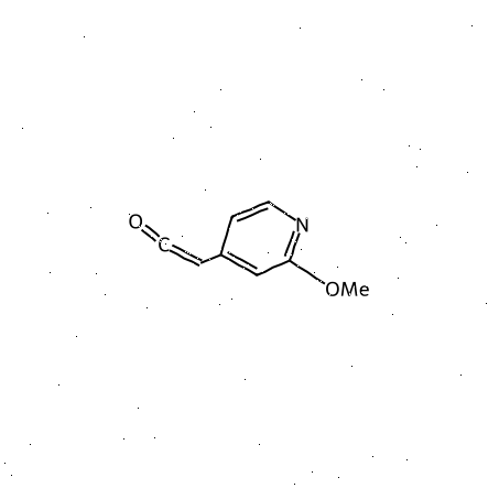 COc1cc(C=C=O)ccn1